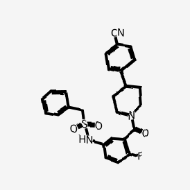 N#Cc1ccc(C2CCN(C(=O)c3cc(NS(=O)(=O)Cc4ccccc4)ccc3F)CC2)cc1